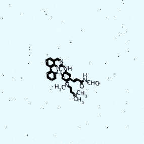 CN(C)CCN(C)c1ccc(Nc2ncc3cccc(-c4ccccc4Cl)c3n2)cc1C=CC(=O)NC=O